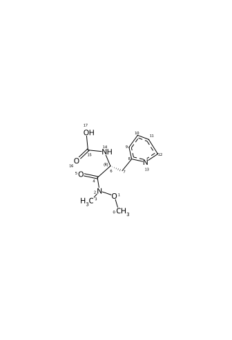 CON(C)C(=O)[C@@H](Cc1ccccn1)NC(=O)O